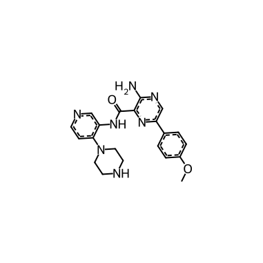 COc1ccc(-c2cnc(N)c(C(=O)Nc3cnccc3N3CCNCC3)n2)cc1